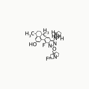 CC1CCC(C)c2c(-c3ccc4c(N5C[C@H]6CC[C@@H](C5)N6)nc(OC[C@@]56CCCN5C[C@H](F)C6)nc4c3F)cc(O)cc21